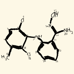 Cc1ccc(Cl)c(Nc2ccccc2C(N)=NO)c1Cl